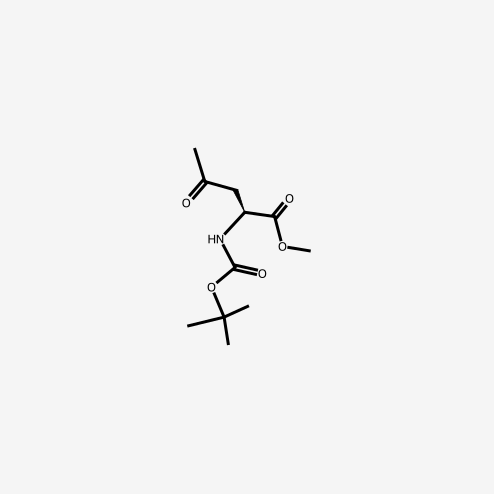 COC(=O)[C@H](CC(C)=O)NC(=O)OC(C)(C)C